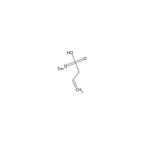 C=CCS(=O)(=O)O.[Tm]